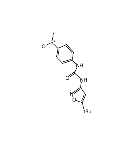 C[S+]([O-])c1ccc(NC(=O)Nc2cc(C(C)(C)C)on2)cc1